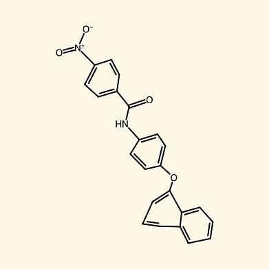 O=C(Nc1ccc(Oc2cccc3ccccc23)cc1)c1ccc([N+](=O)[O-])cc1